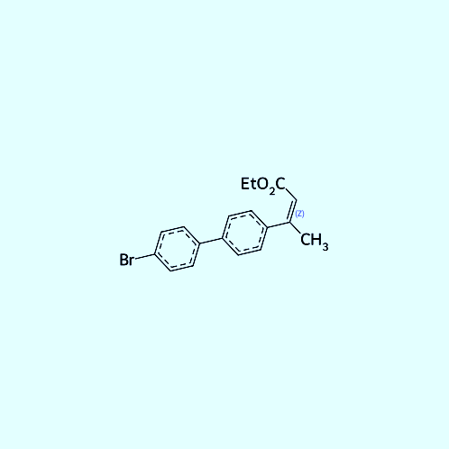 CCOC(=O)/C=C(/C)c1ccc(-c2ccc(Br)cc2)cc1